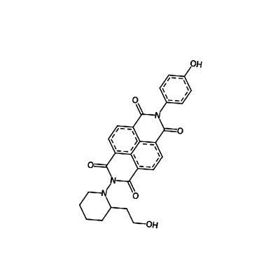 O=C1c2ccc3c4c(ccc(c24)C(=O)N1c1ccc(O)cc1)C(=O)N(N1CCCCC1CCO)C3=O